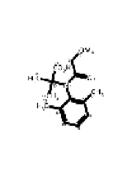 COCC(=O)N(c1c(C)cccc1C)C(C)(C)C(=O)O